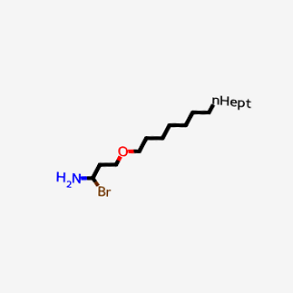 CCCCCCCCCCCCCCOCCC(N)Br